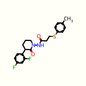 Cc1ccc(SCCC(=O)NN2CCCC(c3ccc(F)cc3F)C2=O)cc1